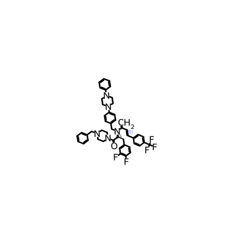 C=C(/C=C/c1ccc(C(F)(F)F)cc1)N(Cc1ccc(N2CCN(c3ccccc3)CC2)cc1)[C@@H](Cc1ccc(F)c(F)c1)C(=O)N1CCN(Cc2ccccc2)CC1